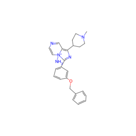 CN1CCC(C2=C3C=NC=C[N+]3(N)C(c3cccc(OCc4ccccc4)c3)=N2)CC1